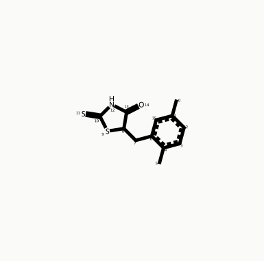 Cc1ccc(C)c(CC2SC(=S)NC2=O)c1